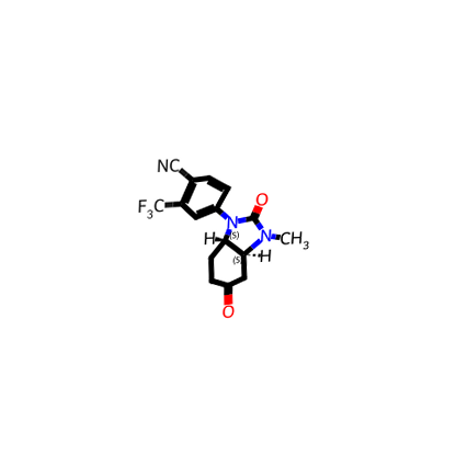 CN1C(=O)N(c2ccc(C#N)c(C(F)(F)F)c2)[C@H]2CCC(=O)C[C@@H]21